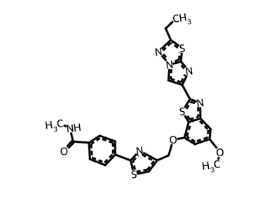 CCc1nn2cc(-c3nc4cc(OC)cc(OCc5csc(-c6ccc(C(=O)NC)cc6)n5)c4s3)nc2s1